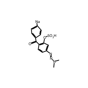 CN(C)N=Nc1ccc(C(=O)c2cc[c]([Na])cc2)c(OS(=O)(=O)O)c1